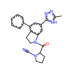 Cc1nnc(-c2cc(-c3ccccc3)c3c(c2)N(C(=O)C2CCCN2C#N)CC3)[nH]1